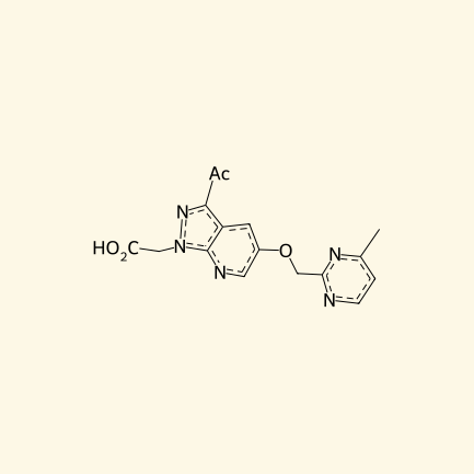 CC(=O)c1nn(CC(=O)O)c2ncc(OCc3nccc(C)n3)cc12